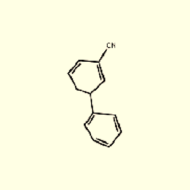 N#CC1=CC(c2ccccc2)CC=C1